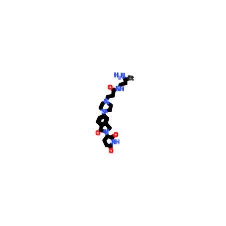 CCC(N)CCNC(=O)CCN1CCN(c2ccc3c(c2)CN(C2CCC(=O)NC2=O)C3=O)CC1